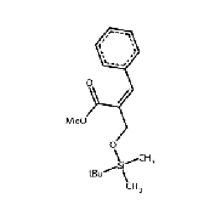 COC(=O)C(=Cc1ccccc1)CO[Si](C)(C)C(C)(C)C